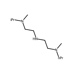 CCCN(C)CCNCCN(C)C(C)C